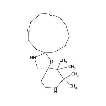 CC1(C)NCCC2(CNC3(CCCCCCCCCCC3)O2)C1(C)C